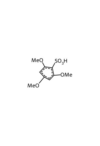 COc1cc(OC)c(S(=O)(=O)O)c(OC)c1